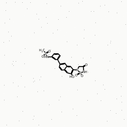 CS(=O)(=O)Nc1cccc(-c2ccc3cc(O)c(N4CC(=O)NS4(=O)=O)cc3c2)c1